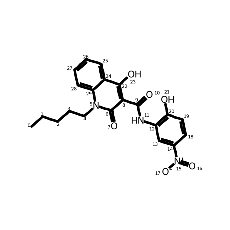 CCCCCn1c(=O)c(C(=O)Nc2cc([N+](=O)[O-])ccc2O)c(O)c2ccccc21